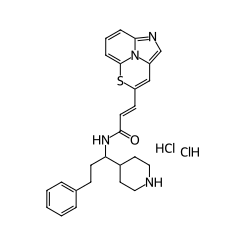 Cl.Cl.O=C(C=CC1=Cc2cnc3cccc(n23)S1)NC(CCc1ccccc1)C1CCNCC1